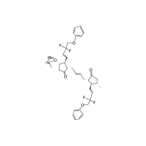 C[C@H]1CC(=O)[C@@H](C/C=C/C[C@@H]2C(=O)C[C@H](O[Si](C)(C)C(C)(C)C)[C@H]2/C=C/C(F)(F)COc2ccccc2)[C@@H]1/C=C/C(F)(F)COc1ccccc1